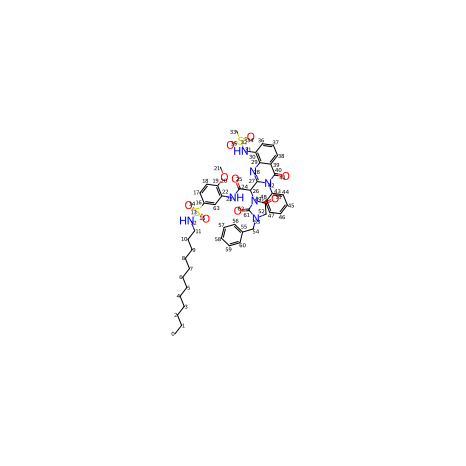 CCCCCCCCCCCCNS(=O)(=O)c1ccc(OC)c(NC(=O)C(c2nc3c(NS(C)(=O)=O)cccc3c(=O)n2-c2ccccc2)N2C(=O)CN(Cc3ccccc3)C2=O)c1